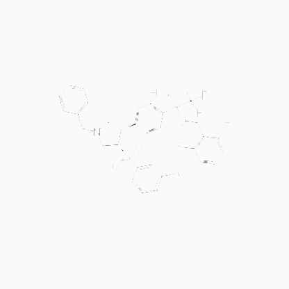 O=S(=O)(c1ccc(F)c(Br)c1)[C@H]1CN(Cc2ccccc2)C[C@H]1c1ccc([C@]([SiH3])(OCc2c(F)cccc2F)C(F)(F)F)cc1